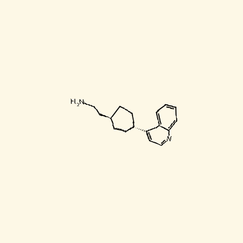 NCC[C@H]1CC[C@H](c2ccnc3ccccc32)CC1